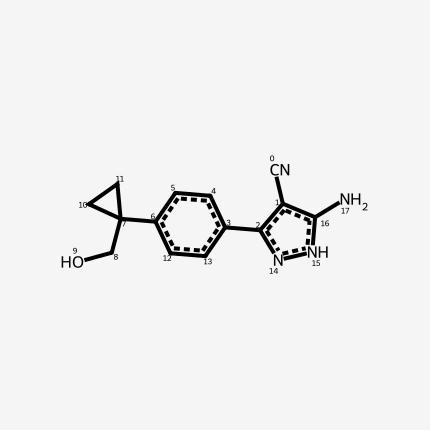 N#Cc1c(-c2ccc(C3(CO)CC3)cc2)n[nH]c1N